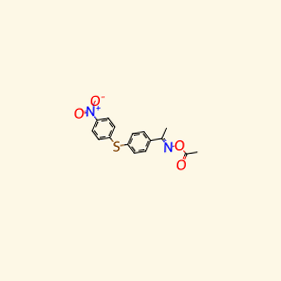 CC(=O)O/N=C(\C)c1ccc(Sc2ccc([N+](=O)[O-])cc2)cc1